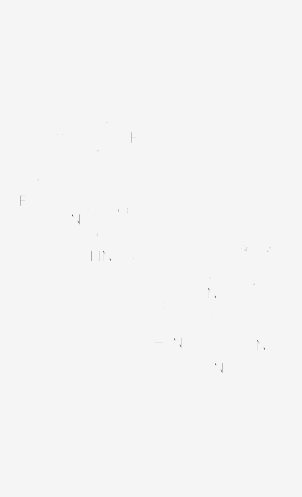 Nc1ncnc2c3c(n(-c4ccc(NC(=O)Nc5cc(CF)ccc5F)cc4)c12)CCC3